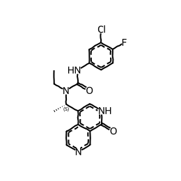 CCN(C(=O)Nc1ccc(F)c(Cl)c1)[C@@H](C)c1c[nH]c(=O)c2cnccc12